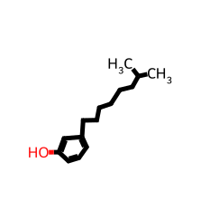 CC(C)CCCCCCc1cccc(O)c1